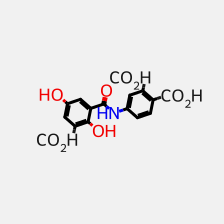 O=C(O)c1ccc(NC(=O)c2cc(O)cc(C(=O)O)c2O)cc1C(=O)O